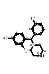 Fc1cccc(C(c2ccc(F)cc2F)N2CCNCC2)c1